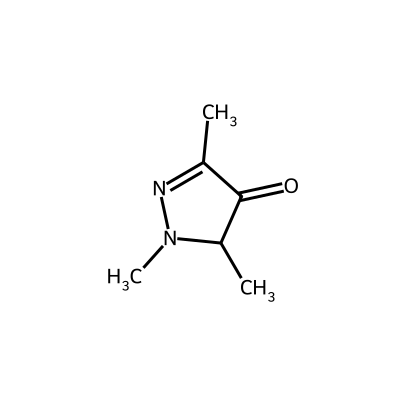 CC1=NN(C)C(C)C1=O